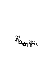 N=C(N)NC(=O)NCc1cccc(-c2cnc(NCCO)nc2)c1